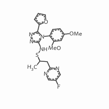 COc1ccc(-n2c(NSC(C)Cc3ncc(F)cn3)nnc2-c2ccco2)c(OC)c1